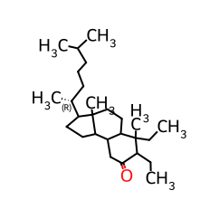 CCC1C(=O)CC2C(CCC3(C)C2CCC3[C@H](C)CCCC(C)C)C1(C)CC